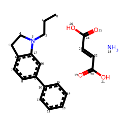 CCCN1CCc2ccc(-c3ccccc3)cc21.N.O=C(O)C=CC(=O)O